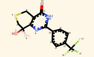 BC1(O)CSCc2c1nc(-c1ccc(C(F)(F)F)cc1)[nH]c2=O